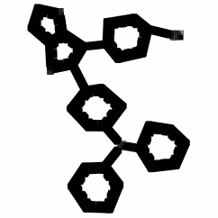 N#Cc1ccc(-c2c(-c3ccc(N(c4ccccc4)c4ccccc4)cc3)sc3ccsc23)cc1